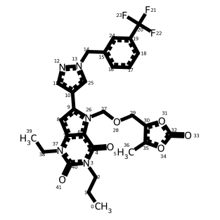 CCCn1c(=O)c2c(cc(-c3cnn(Cc4cccc(C(F)(F)F)c4)c3)n2COCc2oc(=O)oc2C)n(CC)c1=O